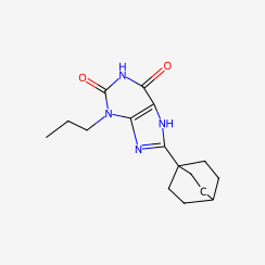 CCCn1c(=O)[nH]c(=O)c2[nH]c(C34CCC(CC3)CC4)nc21